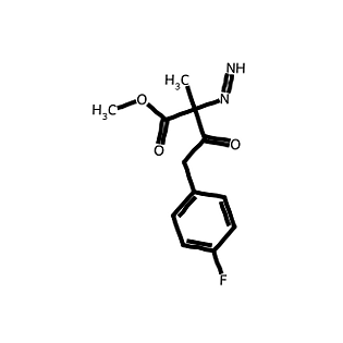 COC(=O)C(C)(N=N)C(=O)Cc1ccc(F)cc1